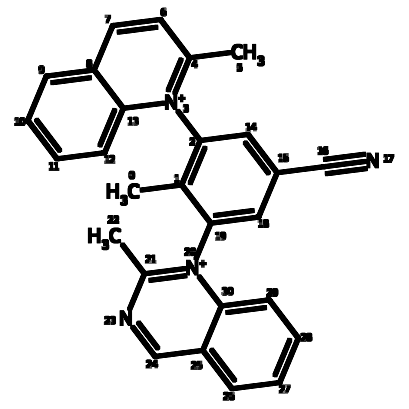 Cc1c(-[n+]2c(C)ccc3ccccc32)cc(C#N)cc1-[n+]1c(C)ncc2ccccc21